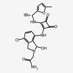 Cc1ccc([C@H](Nc2c(Nc3ccc(Cl)c4c3C(O)N(CC(N)=O)C4)c(=O)c2=O)C(C)(C)C)o1